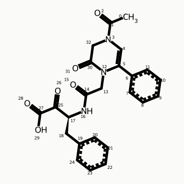 CC(=O)N1C=C(c2ccccc2)N(CC(=O)N[C@@H](Cc2ccccc2)C(=O)C(=O)O)C(=O)C1